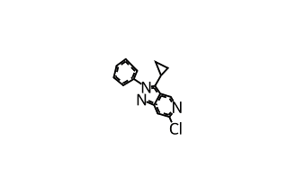 Clc1cc2nn(-c3ccccc3)c(C3CC3)c2cn1